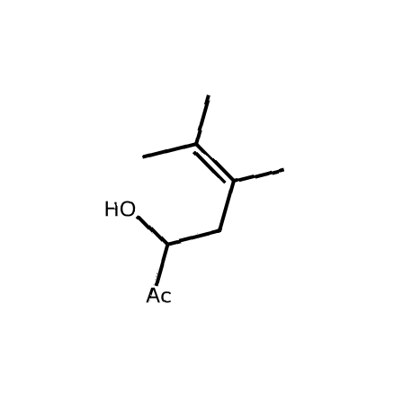 CC(=O)C(O)CC(C)=C(C)C